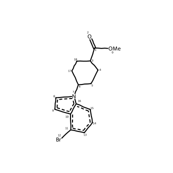 COC(=O)C1CCC(n2ccc3c(Br)cccc32)CC1